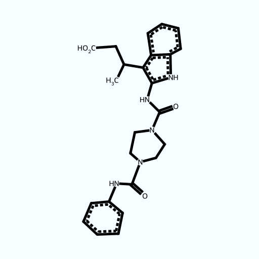 CC(CC(=O)O)c1c(NC(=O)N2CCN(C(=O)Nc3ccccc3)CC2)[nH]c2ccccc12